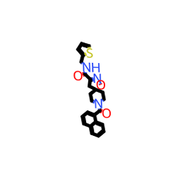 O=C(NCc1cccs1)C1=NOC2(CCN(C(=O)c3cccc4ccccc34)CC2)C1